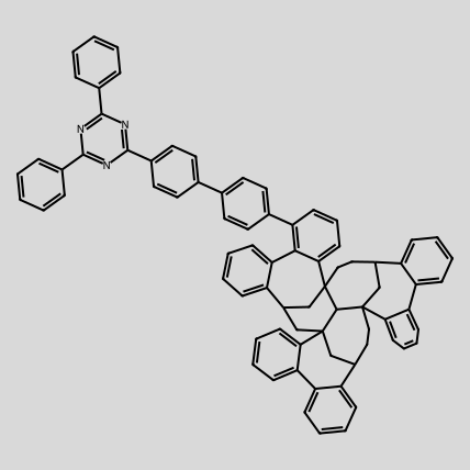 c1ccc(-c2nc(-c3ccccc3)nc(-c3ccc(-c4ccc(-c5cccc6c5-c5ccccc5C5CC78CC(CCC9%10CC(CCC6(C5)C97)c5ccccc5-c5ccccc5%10)c5ccccc5-c5ccccc58)cc4)cc3)n2)cc1